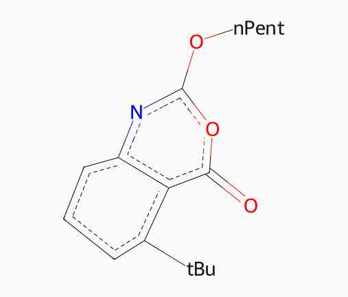 CCCCCOc1nc2cccc(C(C)(C)C)c2c(=O)o1